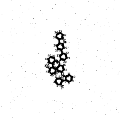 Fc1cccc2c1c1ccccc1n2-c1ccc(N(c2cccc(-c3ccc4c(c3)sc3ccccc34)c2)c2cccc3oc4ccccc4c23)cc1